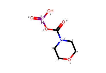 O=C(O[PH](=O)O)N1CCOCC1